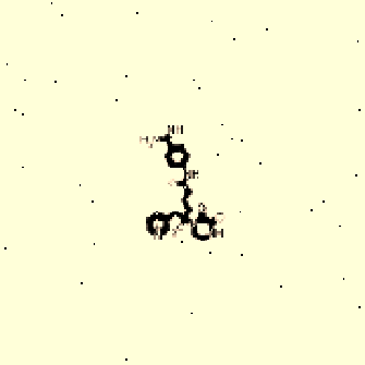 N=C(N)c1ccc(NC(=O)CCCC(Cc2cccnc2)(C(=O)O)N2CCNC(=O)C2=O)cc1